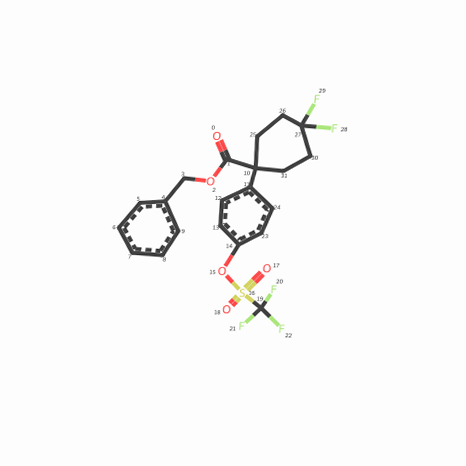 O=C(OCc1ccccc1)C1(c2ccc(OS(=O)(=O)C(F)(F)F)cc2)CCC(F)(F)CC1